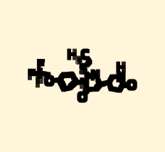 CCSc1nc(C2CCC(=O)NC2)cc(=O)n1-c1ccc(OCC(F)(F)F)cc1